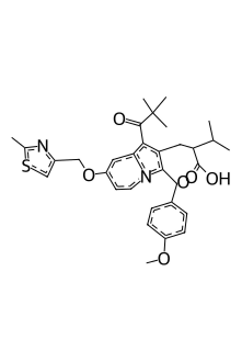 COc1ccc(C(=O)c2c(CC(C(=O)O)C(C)C)c(C(=O)C(C)(C)C)c3cc(OCc4csc(C)n4)ccn23)cc1